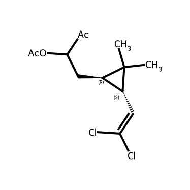 CC(=O)OC(C[C@@H]1[C@@H](C=C(Cl)Cl)C1(C)C)C(C)=O